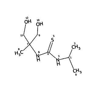 CC(C)NC(=S)NC(C)(CO)CO